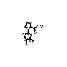 CNC(=O)[C@@H]1CCCN1c1ncc(Br)c(C)n1